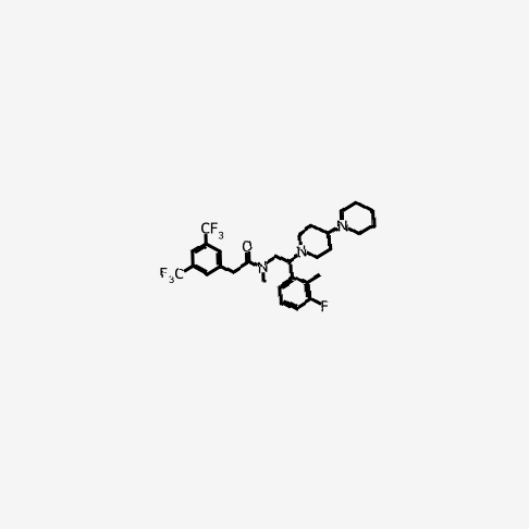 Cc1c(F)cccc1C(CN(C)C(=O)Cc1cc(C(F)(F)F)cc(C(F)(F)F)c1)N1CCC(N2CCCCC2)CC1